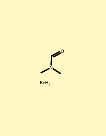 CN(C)C=O.[BeH2]